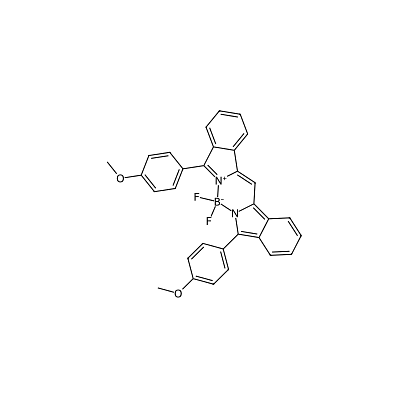 COc1ccc(C2=[N+]3C(=Cc4c5ccccc5c(-c5ccc(OC)cc5)n4[B-]3(F)F)c3ccccc32)cc1